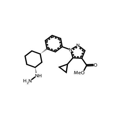 COC(=O)c1cnn(-c2cccc([C@H]3CCC[C@@H](NN)C3)c2)c1C1CC1